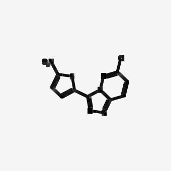 O=[N+]([O-])c1ccc(-c2nnc3ccc(Cl)nn23)s1